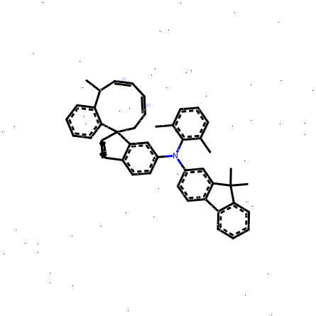 Cc1cccc(C)c1N(c1ccc2c(c1)C(C)(C)c1ccccc1-2)c1ccc2c(c1)C1(C/C=C\C=C/C(C)c3ccccc31)c1ccccc1-2